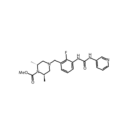 COC(=O)N1[C@H](C)CN(Cc2cccc(NC(=O)Nc3cccnc3)c2F)C[C@H]1C